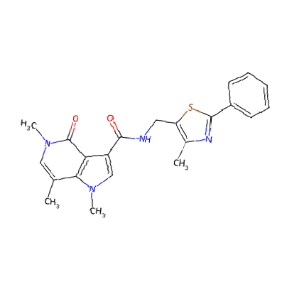 Cc1nc(-c2ccccc2)sc1CNC(=O)c1cn(C)c2c(C)cn(C)c(=O)c12